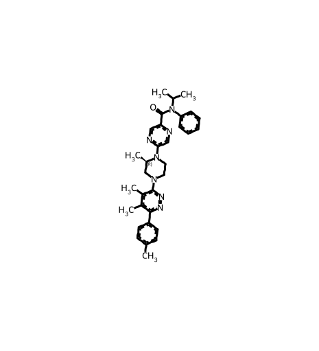 Cc1ccc(-c2nnc(N3CCN(c4cnc(C(=O)N(c5ccccc5)C(C)C)cn4)[C@H](C)C3)c(C)c2C)cc1